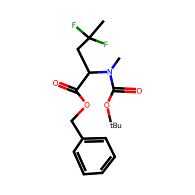 CN(C(=O)OC(C)(C)C)C(CC(C)(F)F)C(=O)OCc1ccccc1